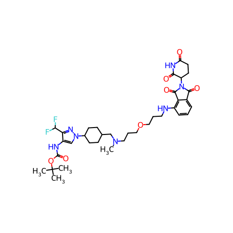 CN(CCCOCCCNc1cccc2c1C(=O)N(C1CCC(=O)NC1=O)C2=O)CC1CCC(n2cc(NC(=O)OC(C)(C)C)c(C(F)F)n2)CC1